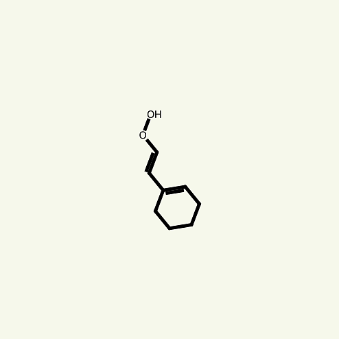 OO/C=C/C1=CCCCC1